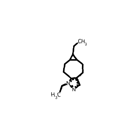 CCC1C2CCc3cnn(CC)c3CCC12